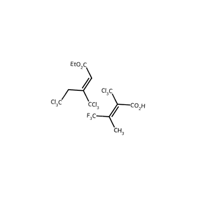 CC(=C(C(=O)O)C(Cl)(Cl)Cl)C(F)(F)F.CCOC(=O)C=C(CC(Cl)(Cl)Cl)C(Cl)(Cl)Cl